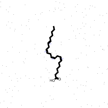 CCCCC/C=C/C/C=C\C/C=C\C/C=C\CCCCCC(=O)O